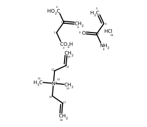 C=C(CC(=O)O)C(=O)O.C=CC(N)=O.C=CC[N+](C)(C)CC=C.Cl